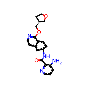 Nc1cccnc1C(=O)Nc1ccc2c(OC[C@H]3CCOC3)nccc2c1